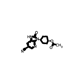 CC(=O)O[C@H]1CC[C@H](n2c(=O)[nH]c3cc(C#N)cnc32)CC1